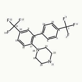 FC(F)(F)c1ccc(-c2cc(C(F)(F)F)ccc2N2CC[N]CC2)cc1